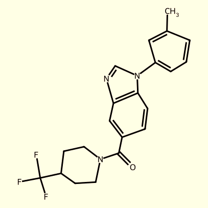 Cc1cccc(-n2cnc3cc(C(=O)N4CCC(C(F)(F)F)CC4)ccc32)c1